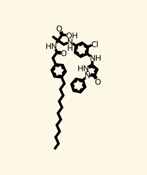 CCCCCCCCCCCCc1ccc(CC(=O)NC(C)(CNc2ccc(Nc3cc(=O)n(-c4ccccc4)[nH]3)c(Cl)c2)C(=O)O)cc1